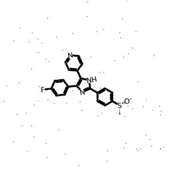 C[S@@+]([O-])c1ccc(-c2nc(-c3ccc(F)cc3)c(-c3ccncc3)[nH]2)cc1